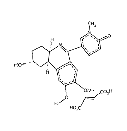 CCOc1cc2c(cc1OC)C(c1ccc(=O)n(C)c1)=N[C@@H]1CC[C@@H](O)C[C@H]21.O=C(O)C=CC(=O)O